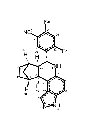 N#Cc1cc([C@@H]2Nc3ccc4[nH]ncc4c3[C@H]3[C@@H]4CC[C@H](C4)[C@H]32)c(F)cc1F